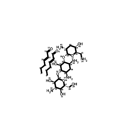 CCC/C=C/C=O.CCC/C=C/C=O.NC[C@H]1O[C@H](O[C@H]2[C@H](O)[C@@H](O[C@H]3O[C@H](CO)[C@@H](O)[C@H](N)[C@H]3O)[C@H](N)C[C@@H]2N)[C@H](N)C[C@@H]1O